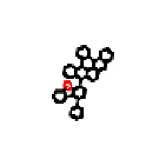 c1ccc(-c2ccc(-c3c4ccccc4c(-c4ccccc4-c4cccc5ccccc45)c4ccccc34)c3oc4ccccc4c23)cc1